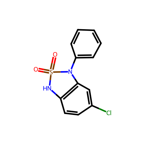 O=S1(=O)Nc2ccc(Cl)cc2N1c1ccccc1